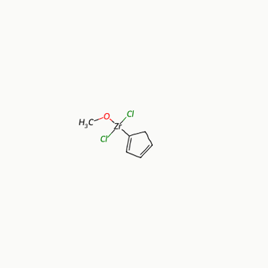 C[O][Zr]([Cl])([Cl])[C]1=CC=CC1